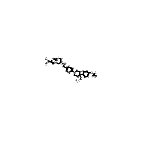 COC1(c2ccc(OC(F)(F)F)cc2)CCN(c2ccc(CN[C@@H]3COc4nc([N+](=O)[O-])cn4C3)cn2)CC1